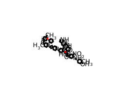 Cc1ccc(O[C@]2(C)CCN(C3CC4(CCN(c5ccc(C(=O)NS(=O)(=O)c6ccc(NC[C@H]7CC[C@](C)(O)CC7)c([N+](=O)[O-])c6)c(N6c7cc8cc[nH]c8nc7O[C@H]7COCC[C@@H]76)c5)CC4)C3)[C@H](c3ccccc3C(C)C)C2)cc1